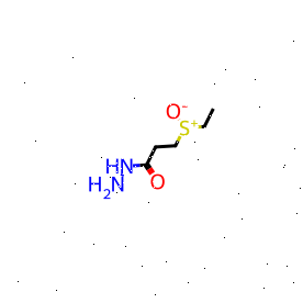 CC[S+]([O-])CCC(=O)NN